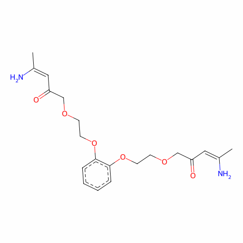 CC(N)=CC(=O)COCCOc1ccccc1OCCOCC(=O)C=C(C)N